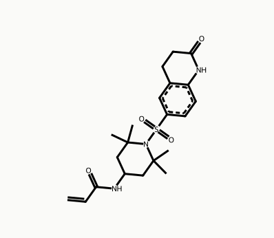 C=CC(=O)NC1CC(C)(C)N(S(=O)(=O)c2ccc3c(c2)CCC(=O)N3)C(C)(C)C1